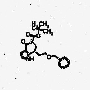 CC(C)(C)OC(=O)N1CC(CCOCc2ccccc2)c2[nH]ccc2C1=O